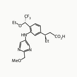 CCO[C@@H](c1ccc([C@H](CC)CC(=O)O)cc1Nc1cnc(COC)nc1)C(F)(F)F